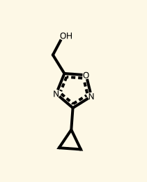 OCc1nc(C2CC2)no1